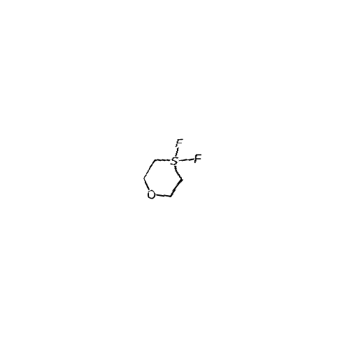 FS1(F)CCOCC1